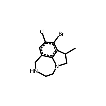 CC1CN2CCNCc3cc(Cl)c(Br)c1c32